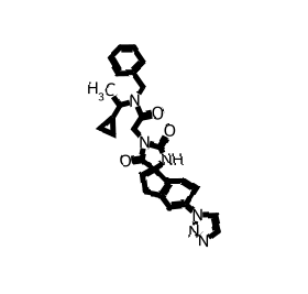 CC(C1CC1)N(Cc1ccccc1)C(=O)CN1C(=O)NC2(CCc3cc(-n4ccnn4)ccc32)C1=O